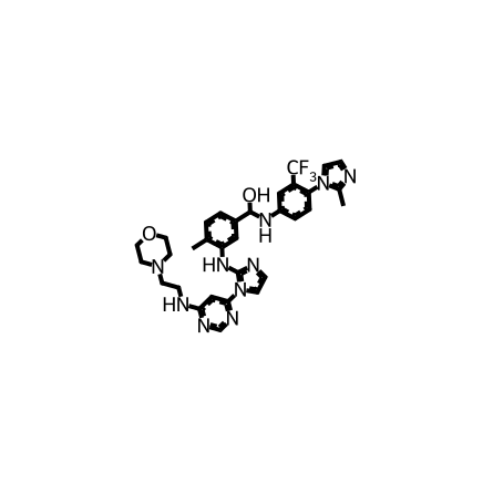 Cc1ccc(C(O)Nc2ccc(-n3ccnc3C)c(C(F)(F)F)c2)cc1Nc1nccn1-c1cc(NCCN2CCOCC2)ncn1